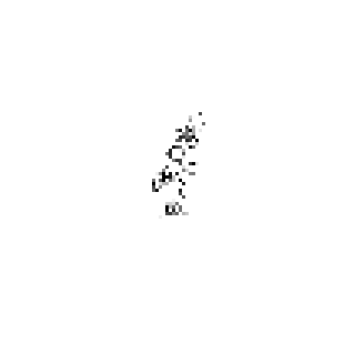 Cc1cc(C)n(CCCNC(=O)c2cc(S(=O)(=O)N3CCCCC3)ccc2N2CCOCC2)n1